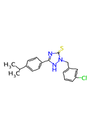 CC(C)c1ccc(-c2nc(=S)n(Cc3cccc(Cl)c3)[nH]2)cc1